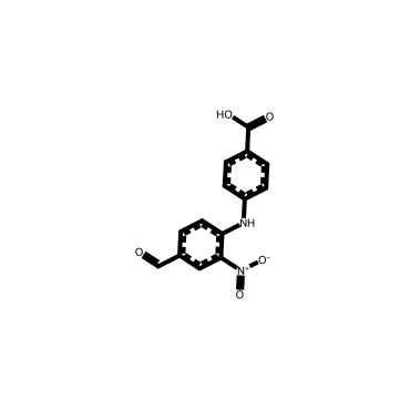 O=Cc1ccc(Nc2ccc(C(=O)O)cc2)c([N+](=O)[O-])c1